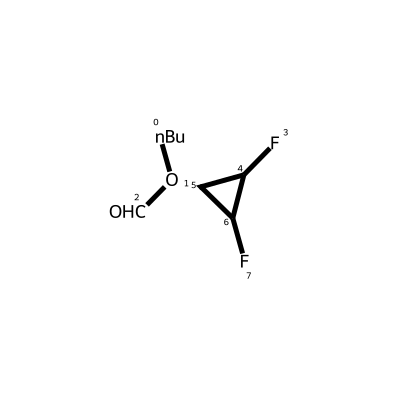 CCCCOC=O.FC1CC1F